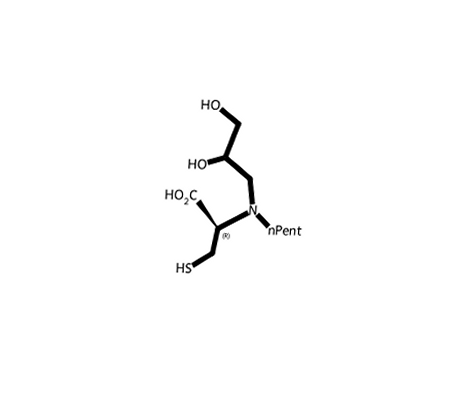 CCCCCN(CC(O)CO)[C@@H](CS)C(=O)O